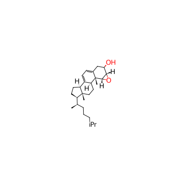 CC(C)CCC[C@@H](C)[C@H]1CC[C@H]2C3=CC=C4C[C@@H](O)[C@@H]5O[C@@H]5[C@]4(C)[C@H]3CC[C@]12C